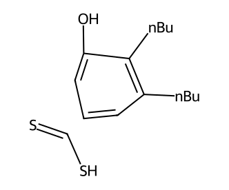 CCCCc1cccc(O)c1CCCC.S=CS